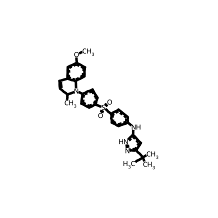 COc1ccc2c(c1)C=CC(C)N2c1ccc(S(=O)(=O)c2ccc(Nc3cc(C(C)(C)C)n[nH]3)cc2)cc1